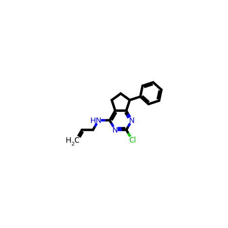 C=CCNc1nc(Cl)nc2c1CCC2c1ccccc1